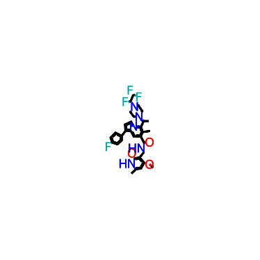 COc1cc(C)[nH]c(=O)c1CNC(=O)c1cc2c(-c3ccc(F)cc3)ccn2c(C(C)N2CCN(C(F)C(F)F)CC2)c1C